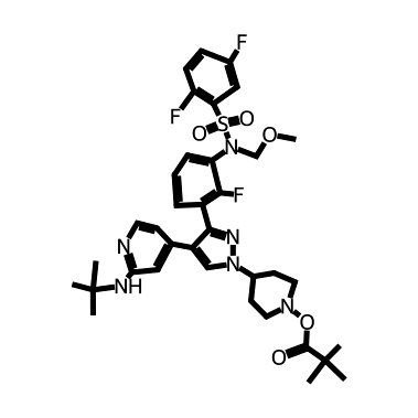 COCN(c1cccc(-c2nn(C3CCN(OC(=O)C(C)(C)C)CC3)cc2-c2ccnc(NC(C)(C)C)c2)c1F)S(=O)(=O)c1cc(F)ccc1F